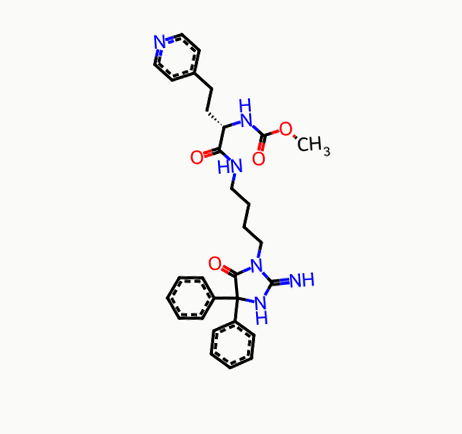 COC(=O)N[C@@H](CCc1ccncc1)C(=O)NCCCCN1C(=N)NC(c2ccccc2)(c2ccccc2)C1=O